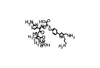 CC1(C)[C@H](NC(=O)/C(=N\O[C@@H](COc2ccc(-c3cc(CN)n(CCCN)n3)cc2)C(=O)O)c2csc(N)n2)C(=O)N1OS(=O)(=O)O